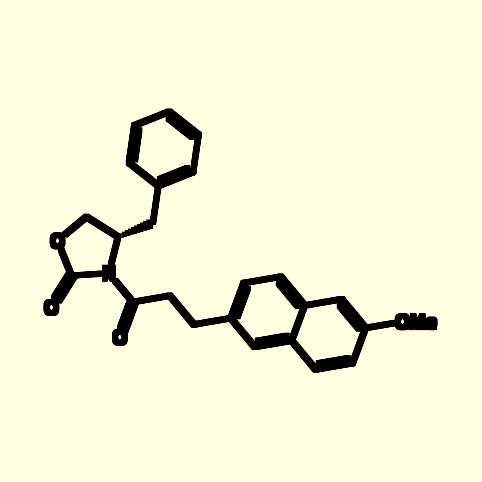 COc1ccc2cc(CCC(=O)N3C(=O)OC[C@@H]3Cc3ccccc3)ccc2c1